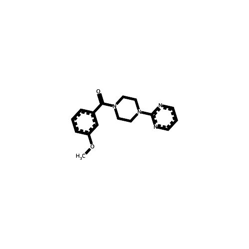 COc1cccc(C(=O)N2CCN(c3ncccn3)CC2)c1